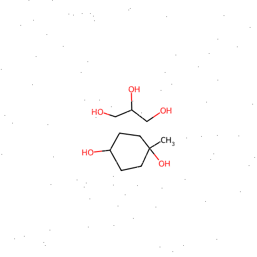 CC1(O)CCC(O)CC1.OCC(O)CO